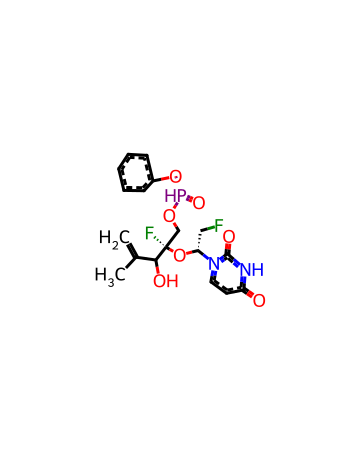 C=C(C)C(O)[C@@](F)(CO[PH](=O)Oc1ccccc1)O[C@H](CF)n1ccc(=O)[nH]c1=O